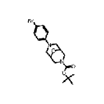 CC(C)(C)OC(=O)N1CC2CN(c3ccc(Br)cc3)CC(C1)O2